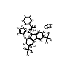 C/[C](C1CCCCC1)=[Zr+2](/[C]1=CC=CC1)[CH]1c2ccc(C(C)(C)C)cc2-c2cc(C(C)(C)C)ccc21.[Cl-].[Cl-]